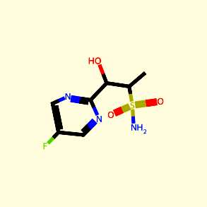 CC(C(O)c1ncc(F)cn1)S(N)(=O)=O